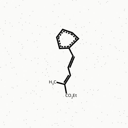 CCOC(=O)C(C)=CC=Cc1ccccc1